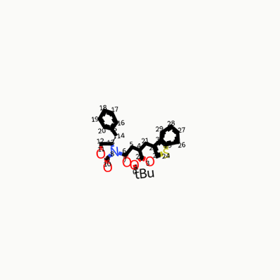 CC(C)(C)OC(=O)C(CC(=O)N1C(=O)OC[C@@H]1Cc1ccccc1)Cc1csc2ccccc12